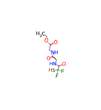 CCOC(=O)CNC(=O)CNC(=O)C(F)(F)S